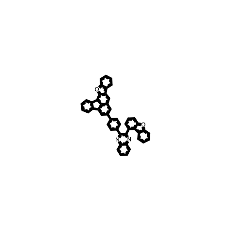 c1ccc2c(c1)-c1cc(-c3ccc(-c4nc5ccccc5nc4-c4cccc5oc6ccccc6c45)cc3)cc3cc4c(oc5ccccc54)c-2c13